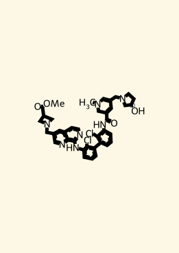 COC(=O)C1CN(Cc2cnc3c(Nc4cccc(-c5cccc(NC(=O)C6=CC(CN7CC[C@@H](O)C7)=CN(C)C6)c5Cl)c4Cl)nccc3c2)C1